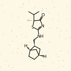 CC(C)[C@]1(C)SC(NC[C@H]2C[C@@H]3CC[C@H]2C3)=NC1=O